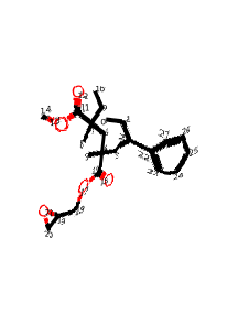 CCC(CC(C)(CC(C)(CC)C(=O)OC)C(=O)OCC1CO1)c1ccccc1